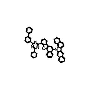 c1ccc(-c2cccc(-c3nc(-c4ccccc4)nc(-c4cccc5c4oc4c6ccccc6c(-n6c7cc8ccccc8cc7c7ccc8ccccc8c76)cc54)n3)c2)cc1